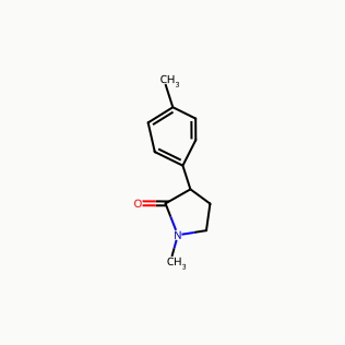 Cc1ccc(C2CCN(C)C2=O)cc1